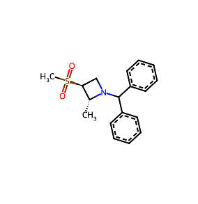 C[C@@H]1[C@@H](S(C)(=O)=O)CN1C(c1ccccc1)c1ccccc1